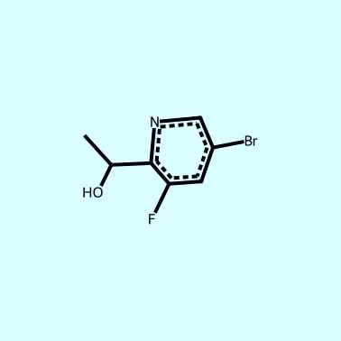 CC(O)c1ncc(Br)cc1F